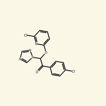 O=C(c1ccc(Cl)cc1)C(Oc1cccc(Cl)n1)n1cncn1